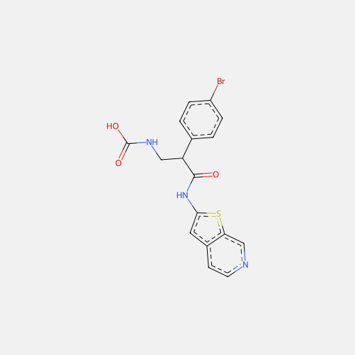 O=C(O)NCC(C(=O)Nc1cc2ccncc2s1)c1ccc(Br)cc1